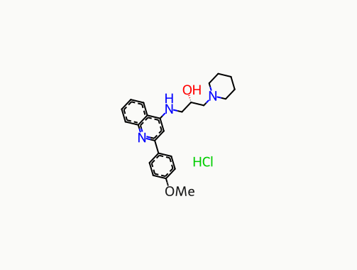 COc1ccc(-c2cc(NC[C@H](O)CN3CCCCC3)c3ccccc3n2)cc1.Cl